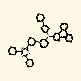 c1ccc(-c2ccc(N(c3cccc(-c4cccc(-c5nc(-c6ccccc6)nc(-c6ccccc6)n5)c4)c3)c3ccc4c5ccccc5c5ccccc5c4c3)cc2)cc1